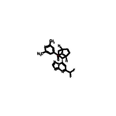 Cc1cc(C(=O)N2[C@H]3CC[C@@H]2[C@H](c2cc(C(F)F)nc4ncnn24)CC3)cc(C)n1